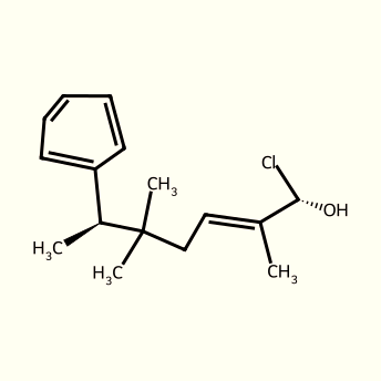 C/C(=C\CC(C)(C)[C@@H](C)c1ccccc1)[C@@H](O)Cl